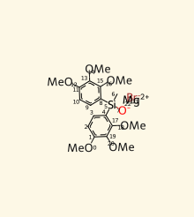 COc1ccc([Si](C)([O-])c2ccc(OC)c(OC)c2OC)c(OC)c1OC.[Br-].[Mg+2]